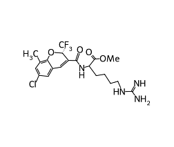 COC(=O)C(CCCCNC(=N)N)NC(=O)C1=Cc2cc(Cl)cc(C)c2O[C@@H]1C(F)(F)F